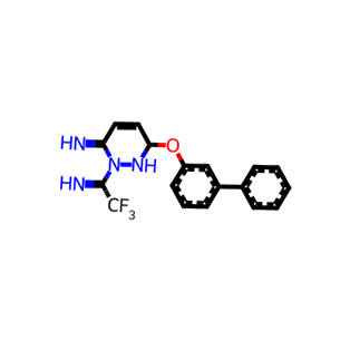 N=C1C=CC(Oc2cccc(-c3ccccc3)c2)NN1C(=N)C(F)(F)F